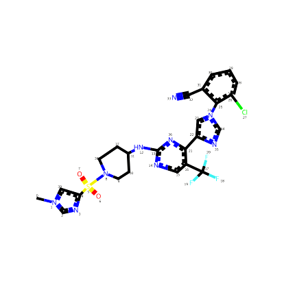 Cn1cnc(S(=O)(=O)N2CCC(Nc3ncc(C(F)(F)F)c(-c4cn(-c5c(Cl)cccc5C#N)cn4)n3)CC2)c1